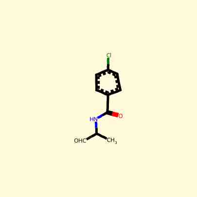 CC(C=O)NC(=O)c1ccc(Cl)cc1